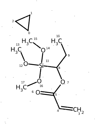 C1CC1.C=CC(=O)OC(CC)[Si](OC)(OC)OC